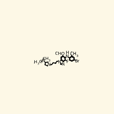 Cc1cc(Br)ccc1Nc1c(C=O)cc2c(ncn2CCCCN2CCC(N(C)C)C2)c1F